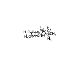 Cc1cc2nc(-c3ccc(C(C)(C)C)cc3N)[nH]c2cc1C